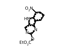 CCOC(=O)Oc1ncc2[nH]c3c([N+](=O)[O-])cccc3c2n1